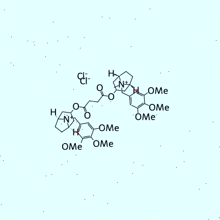 COc1cc(C[N+]2(C)[C@@H]3CC[C@H]2CC(OC(=O)CCC(=O)OC2C[C@H]4CC[C@@H](C2)[N+]4(C)Cc2cc(OC)c(OC)c(OC)c2)C3)cc(OC)c1OC.[Cl-].[Cl-]